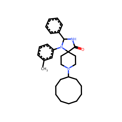 Cc1cccc(N2C(c3ccccc3)NC(=O)C23CCN(C2CCCCCCCCC2)CC3)c1